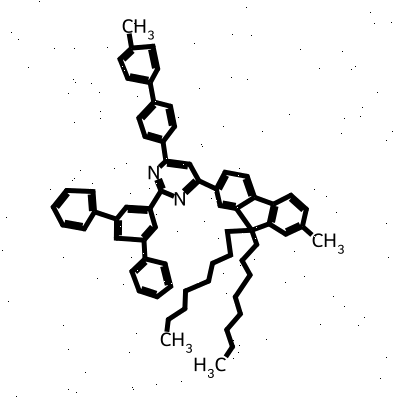 CCCCCCCCC1(CCCCCCCC)c2cc(C)ccc2-c2ccc(-c3cc(-c4ccc(-c5ccc(C)cc5)cc4)nc(-c4cc(-c5ccccc5)cc(-c5ccccc5)c4)n3)cc21